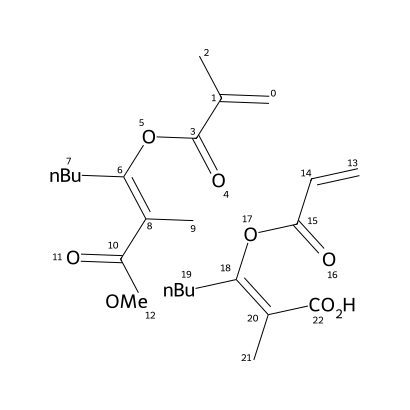 C=C(C)C(=O)OC(CCCC)=C(C)C(=O)OC.C=CC(=O)OC(CCCC)=C(C)C(=O)O